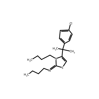 CCCCN=c1scc(C(C)(C)c2ccc(Cl)cc2)n1CCCC